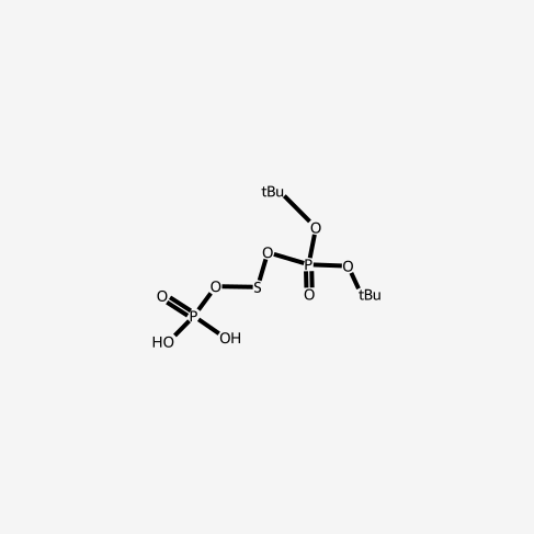 CC(C)(C)OP(=O)(OSOP(=O)(O)O)OC(C)(C)C